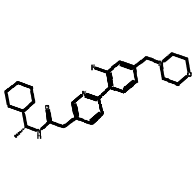 C[C@@H](NC(=O)Cc1ccc(-c2ccc(CN3CCOCC3)cc2F)nc1)C1CCCCC1